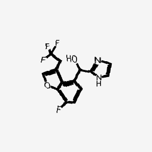 OC(c1ncc[nH]1)c1ccc(F)c2occ(CC(F)(F)F)c12